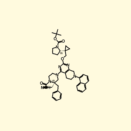 CC(C)(C)OC(=O)N1CCC[C@H]1C1(COc2nc3c(c(N4CCN(C(=O)O)[C@](CC#N)(Cc5ccccc5)C4)n2)CCN(c2cccc4ccccc24)C3)CC1